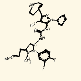 COCCC1C[C@@H](NC(=O)Nc2c(C)c(C3=CCNCC3)nn2-c2ccccc2)[C@H](c2ccc(F)c(F)c2)N1C